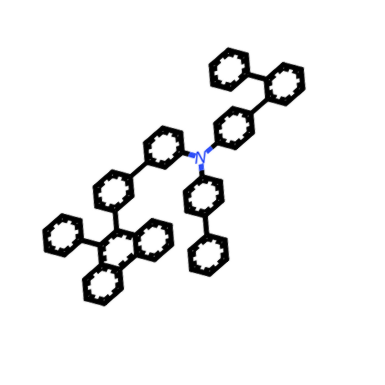 c1ccc(-c2ccc(N(c3ccc(-c4ccccc4-c4ccccc4)cc3)c3cccc(-c4cccc(-c5c(-c6ccccc6)c6ccccc6c6ccccc56)c4)c3)cc2)cc1